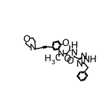 CN1C(=O)[C@@H](NC(=O)c2n[nH]c(Cc3ccccc3)n2)COc2ccc(C#CCN3CCOCC3)cc21